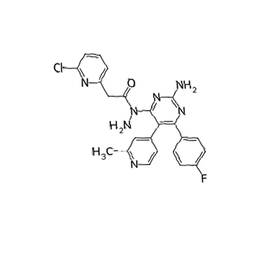 Cc1cc(-c2c(-c3ccc(F)cc3)nc(N)nc2N(N)C(=O)Cc2cccc(Cl)n2)ccn1